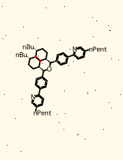 CCCCCc1ccc(-c2ccc(C(OC(c3ccc(-c4ccc(CCCCC)cn4)cc3)[C@H]3CC[C@H](CCCC)CC3)[C@H]3CC[C@H](CCCC)CC3)cc2)nc1